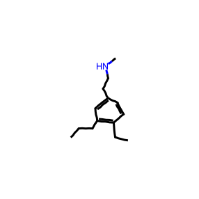 CCCc1cc(CCNC)ccc1CC